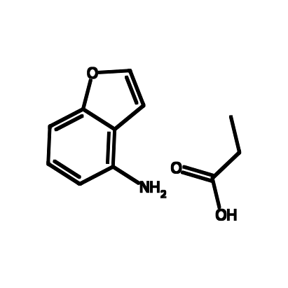 CCC(=O)O.Nc1cccc2occc12